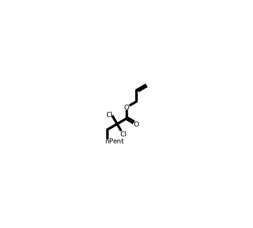 C=CCOC(=O)C(Cl)(Cl)CCCCCC